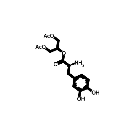 CC(=O)OCC(COC(C)=O)OC(=O)[C@@H](N)Cc1ccc(O)c(O)c1